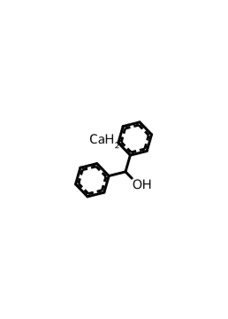 OC(c1ccccc1)c1ccccc1.[CaH2]